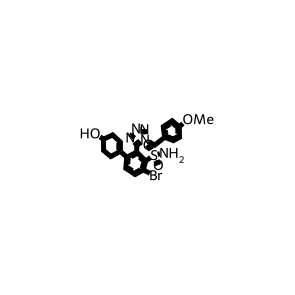 COc1ccc(Cn2nnnc2-c2c(C3=CCC(O)CC3)ccc(Br)c2S(N)(=O)=O)cc1